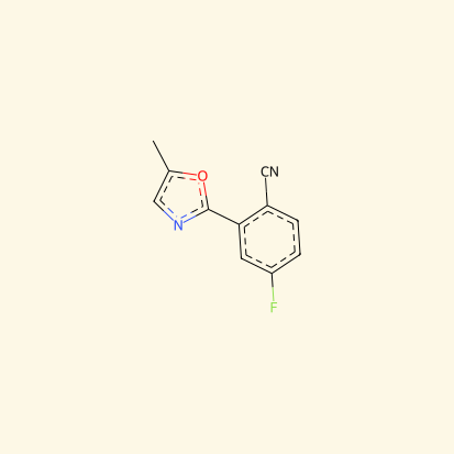 Cc1cnc(-c2cc(F)ccc2C#N)o1